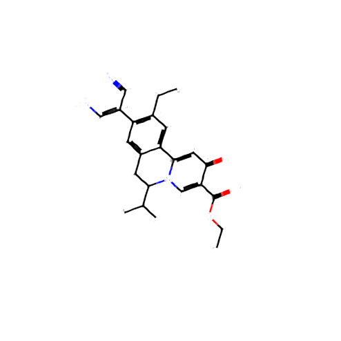 CCOC(=O)c1cn2c(cc1=O)-c1cc(CC)c(/C(C=N)=C/N)cc1CC2C(C)C